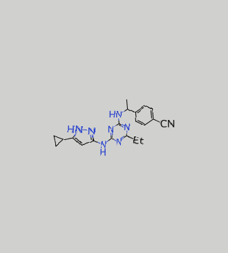 CCc1nc(Nc2cc(C3CC3)[nH]n2)nc(NC(C)c2ccc(C#N)cc2)n1